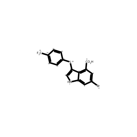 O=C(O)c1cc(Br)cc2[nH]cc(Sc3ccc(C(F)(F)F)cc3)c12